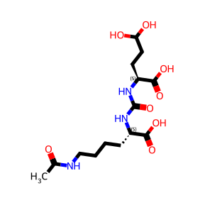 CC(=O)NCCCC[C@H](NC(=O)N[C@@H](CCC(O)O)C(=O)O)C(=O)O